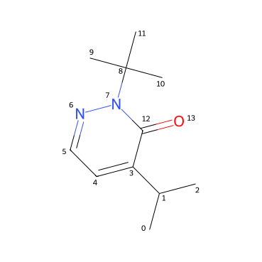 CC(C)c1ccnn(C(C)(C)C)c1=O